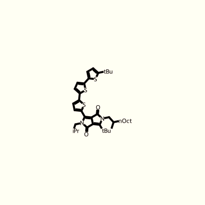 CCCCCCCCC(C)CN1C(=O)C2=C(c3ccc(-c4ccc(-c5ccc(C(C)(C)C)s5)s4)s3)N(CC(C)C)C(=O)C2=C1C(C)(C)C